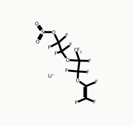 O=[S-](=O)OC(F)(F)C(F)(F)OC(F)(C(F)(F)F)C(F)(F)OC(F)=C(F)F.[Li+]